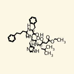 CCOC(=O)C[C@H](O)[C@H](CC(C)C)NC(=O)[C@H](Cc1c[nH]cn1)NC(=O)[C@H](Cc1ccccc1)NC(=O)CCCc1ccccc1